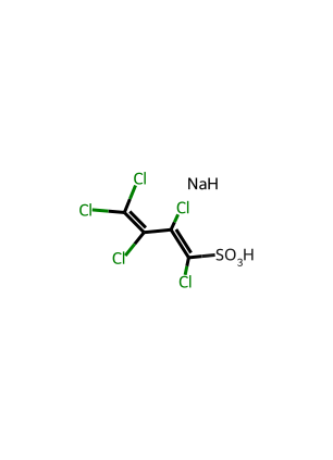 O=S(=O)(O)C(Cl)=C(Cl)C(Cl)=C(Cl)Cl.[NaH]